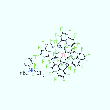 CCCC[NH+](c1cccc(F)c1F)C(F)(F)C(F)(F)F.Fc1c(F)c2c(F)c(F)c3c(F)c(F)c([B-](c4c(F)c(F)c5c(F)c(F)c6c(F)c(F)c(F)c7c(F)c(F)c4c5c67)(c4c(F)c(F)c5c(F)c(F)c6c(F)c(F)c(F)c7c(F)c(F)c4c5c67)c4c(F)c(F)c5c(F)c(F)c6c(F)c(F)c(F)c7c(F)c(F)c4c5c67)c4c(F)c(F)c(c1F)c2c34